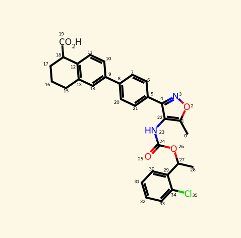 Cc1onc(-c2ccc(-c3ccc4c(c3)CCCC4C(=O)O)cc2)c1NC(=O)OC(C)c1ccccc1Cl